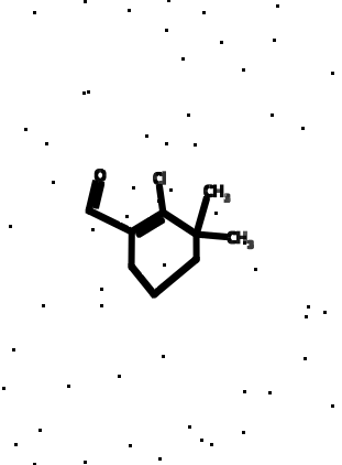 CC1(C)CCCC(C=O)=C1Cl